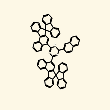 c1ccc2c(c1)-c1ccccc1C21c2ccccc2-c2c1cc(C1=NC(c3ccc4ccccc4c3)NC(c3cc4c(c5ccccc35)-c3ccccc3C43c4ccccc4-c4ccccc43)=N1)c1ccccc21